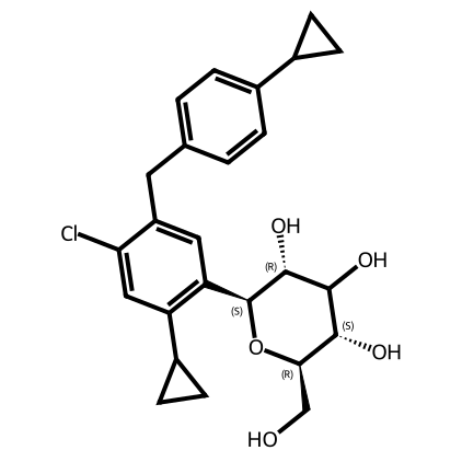 OC[C@H]1O[C@@H](c2cc(Cc3ccc(C4CC4)cc3)c(Cl)cc2C2CC2)[C@H](O)C(O)[C@@H]1O